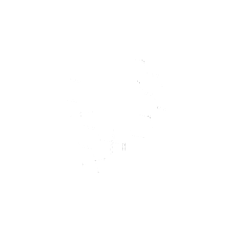 CN(C)c1ccc(C(=O)N2CCC(NS(=O)(=O)c3cc(S(=O)(=O)c4ccccc4)ccc3C(F)(F)F)CC2)cn1